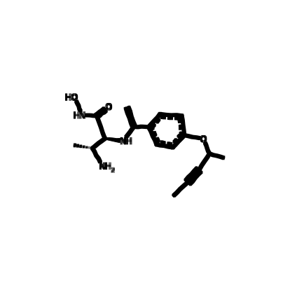 C=C(N[C@H](C(=O)NO)[C@@H](C)N)c1ccc(OC(C)C#CC)cc1